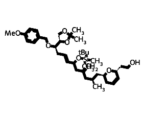 C=C(CC(/C=C/C[C@@H](OCc1ccc(OC)cc1)[C@@H]1COC(C)(C)O1)O[Si](C)(C)C(C)(C)C)C[C@H](C)C[C@@H]1CC=C[C@@H](CCO)O1